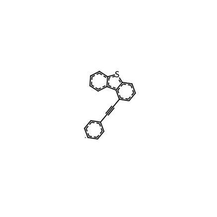 C(#Cc1cccc2sc3ccccc3c12)c1cc[c]cc1